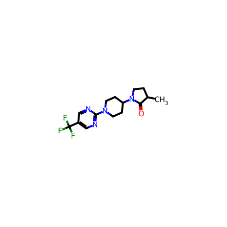 CC1CCN(C2CCN(c3ncc(C(F)(F)F)cn3)CC2)C1=O